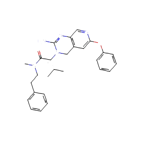 CC(C)[C@H](C(=O)N(C)CCc1ccccc1)N1Cc2cc(Oc3ccccc3)ncc2N=C1N